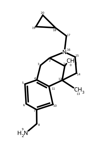 CC1C2Cc3ccc(CN)cc3C1(C)CCN2CC1CC1